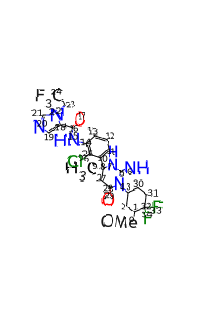 COC1CC(N2C(=N)N[C@](C)(c3cccc(NC(=O)c4cncn4CC(F)(F)F)c3Cl)CC2=O)CCC1(F)F